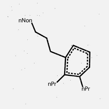 CCCCCCCCCCCCc1[c]ccc(CCC)c1CCC